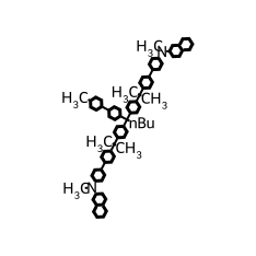 CCCCC(c1ccc(-c2ccc(C)cc2)cc1)(c1ccc(C(C)(C)c2ccc(-c3ccc(N(C)c4ccc5ccccc5c4)cc3)cc2)cc1)c1ccc(C(C)(C)c2ccc(-c3ccc(N(C)c4ccc5ccccc5c4)cc3)cc2)cc1